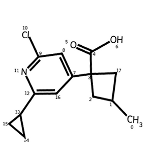 CC1CC(C(=O)O)(c2cc(Cl)nc(C3CC3)c2)C1